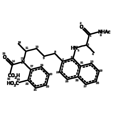 CC(=O)NC(=O)C(C)Nc1c(CCCC(C)N(C(=O)C(=O)O)c2ccccc2C(=O)O)ccc2ccccc12